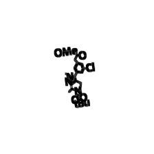 COC(=O)Cc1cc(Cl)cc(-c2c3c(nn2C)C(C)N(C(=O)OC(C)(C)C)CC3)c1